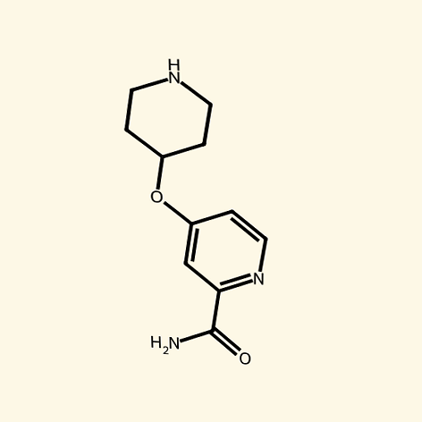 NC(=O)c1cc(OC2CCNCC2)ccn1